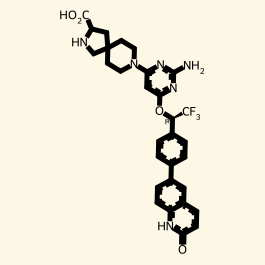 Nc1nc(O[C@H](c2ccc(-c3ccc4[nH]c(=O)ccc4c3)cc2)C(F)(F)F)cc(N2CCC3(CC2)CNC(C(=O)O)C3)n1